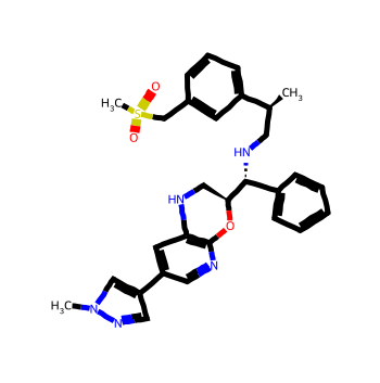 C[C@@H](CN[C@H](c1ccccc1)[C@@H]1CNc2cc(-c3cnn(C)c3)cnc2O1)c1cccc(CS(C)(=O)=O)c1